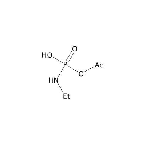 CCNP(=O)(O)OC(C)=O